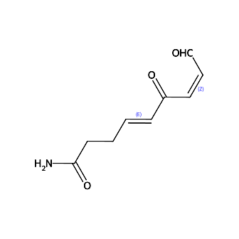 NC(=O)CC/C=C/C(=O)/C=C\C=O